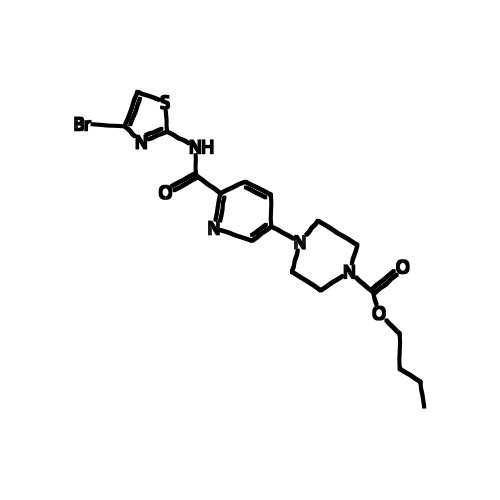 CCCCOC(=O)N1CCN(c2ccc(C(=O)Nc3nc(Br)cs3)nc2)CC1